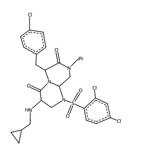 CC(C)N1CC2N(C(=O)C(NCC3CC3)CN2S(=O)(=O)c2ccc(Cl)cc2Cl)C(Cc2ccc(Cl)cc2)C1=O